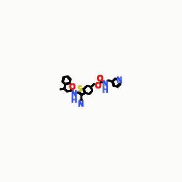 CC(CC(=O)Nc1sc2c(c1C#N)CCC(COC(=O)NCc1cccnc1)C2)c1ccccc1